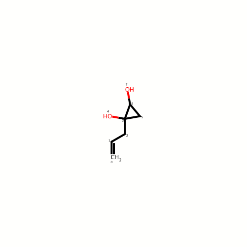 C=CCC1(O)CC1O